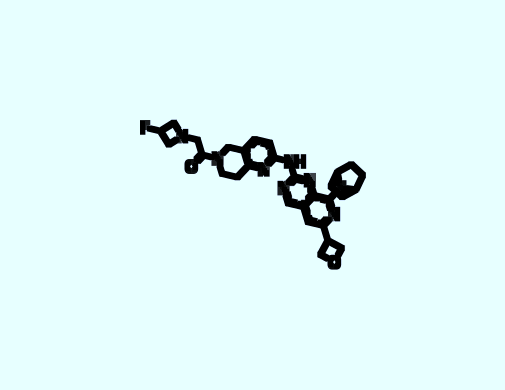 O=C(CN1CC(F)C1)N1CCc2nc(Nc3ncc4cc(C5COC5)nc(N5C6CCC5CC6)c4n3)ccc2C1